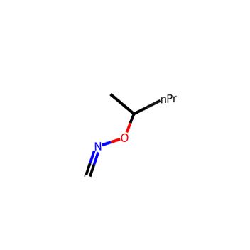 [CH]=NOC(C)CCC